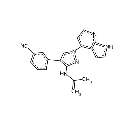 C=C(C)Nc1nn(-c2ccnc3[nH]ccc23)cc1-c1cccc(C#N)c1